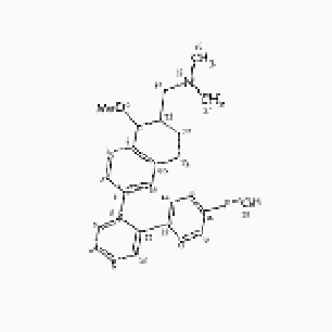 COC1c2ccc(-c3ccccc3-c3ccc(F)cc3)cc2CCC1CN(C)C.Cl